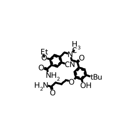 CCOc1cc(CN(C)CC(=O)c2cc(OCCCC(N)=O)c(O)c(C(C)(C)C)c2)c(C#N)cc1C(N)=O